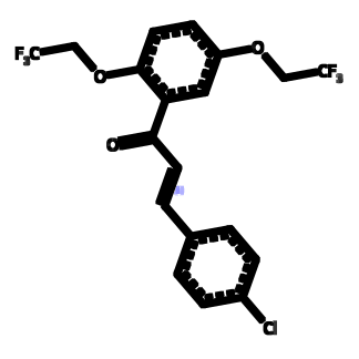 O=C(/C=C/c1ccc(Cl)cc1)c1cc(OCC(F)(F)F)ccc1OCC(F)(F)F